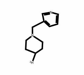 [2H]C1CCN(Cc2cccnc2)CC1